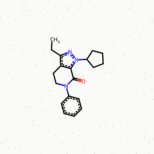 CCc1nn(C2CCCC2)c2c1CCN(c1ccccc1)C2=O